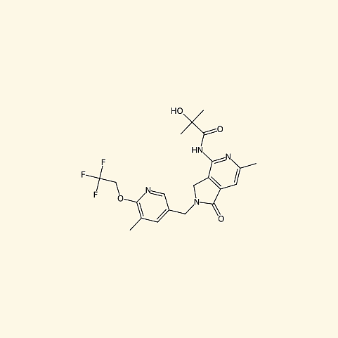 Cc1cc2c(c(NC(=O)C(C)(C)O)n1)CN(Cc1cnc(OCC(F)(F)F)c(C)c1)C2=O